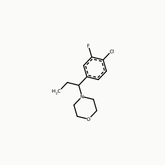 [CH2]CC(c1ccc(Cl)c(F)c1)N1CCOCC1